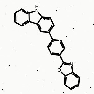 c1ccc2oc(-c3ccc(-c4ccc5[nH]c6ccccc6c5c4)cc3)nc2c1